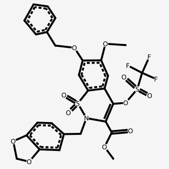 COC(=O)C1=C(OS(=O)(=O)C(F)(F)F)c2cc(OC)c(OCc3ccccc3)cc2S(=O)(=O)N1Cc1ccc2c(c1)OCO2